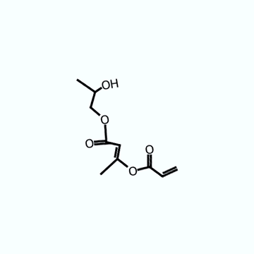 C=CC(=O)OC(C)=CC(=O)OCC(C)O